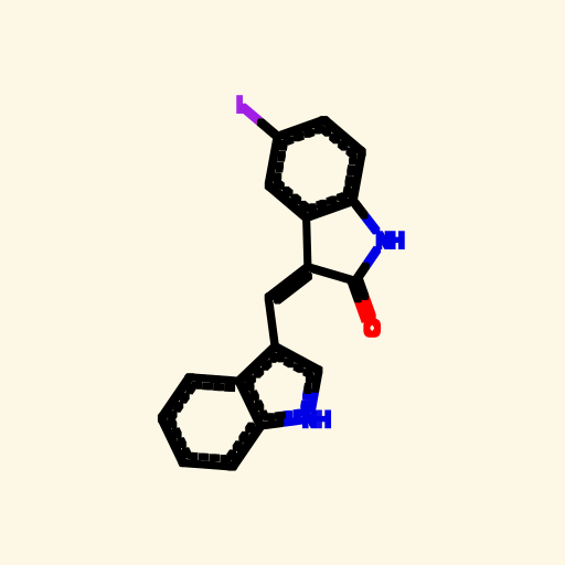 O=C1Nc2ccc(I)cc2C1=Cc1c[nH]c2ccccc12